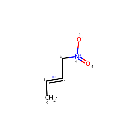 [CH2]/C=C/C[N+](=O)[O-]